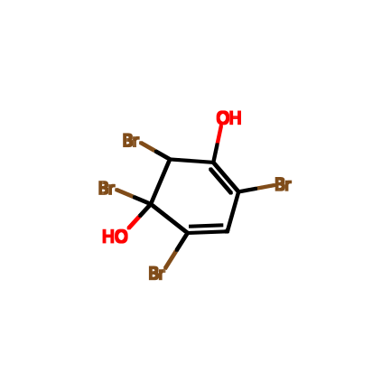 OC1=C(Br)C=C(Br)C(O)(Br)C1Br